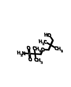 CC(C)(CO)COCC(C)(C)S(N)(=O)=O